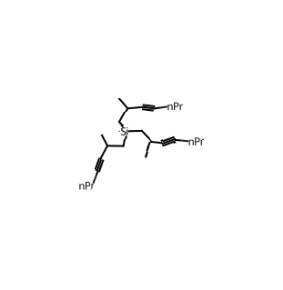 CCCC#CC(C)C[Si](CC(C)C#CCCC)CC(C)C#CCCC